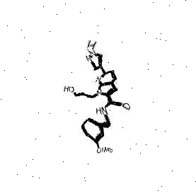 COc1cccc(CNC(=O)c2cc3ccc(-c4cn[nH]c4)nc3n2CCCO)c1